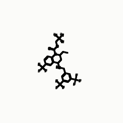 [2H]C([2H])([2H])COC(=O)N1c2ccc(C(F)(F)F)cc2C(NCc2cc(C(F)(F)F)cc(C(F)(F)F)c2)CC1CC